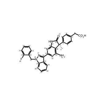 C[C@@]1(c2ccc(CC(=O)O)cc2)C(=O)Nc2nc(-c3nn(Cc4ccccc4F)c4ncccc34)nc(N)c21